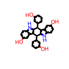 Oc1cccc(C2c3[nH]c4ccc(O)cc4c3C(c3cccc(O)c3)c3[nH]c4ccc(O)cc4c32)c1